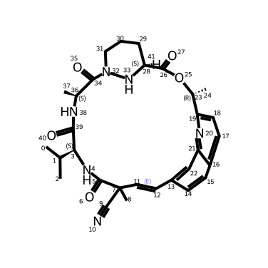 CC(C)[C@@H]1NC(=O)C(C)(C#N)/C=C/c2ccc3ccc(nc3c2)[C@@H](C)OC(=O)[C@@H]2CCCN(N2)C(=O)[C@H](C)NC1=O